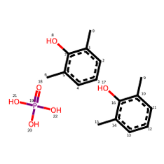 Cc1cccc(C)c1O.Cc1cccc(C)c1O.O=P(O)(O)O